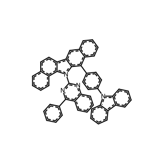 c1ccc(-c2nc(-n3c4c(-c5ccc(-n6c7ccccc7c7ccccc76)cc5)c5ccccc5cc4c4ccc5ccccc5c43)nc3ccccc23)cc1